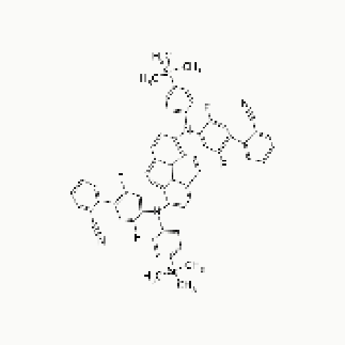 C[Si](C)(C)c1ccc(N(c2cc(F)c(-c3ccccc3C#N)cc2F)c2ccc3ccc4c(N(c5ccc([Si](C)(C)C)cc5)c5cc(F)c(-c6ccccc6C#N)cc5F)ccc5ccc2c3c54)cc1